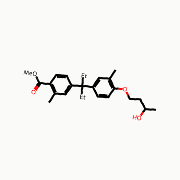 CCC(CC)(c1ccc(OCCC(C)O)c(C)c1)c1ccc(C(=O)OC)c(C)c1